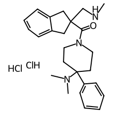 CNCC1(C(=O)N2CCC(c3ccccc3)(N(C)C)CC2)Cc2ccccc2C1.Cl.Cl